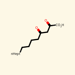 CCCCCCCCCCCC(=O)CC(=O)C(=O)O